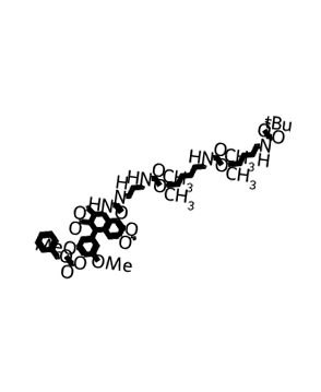 COc1cc(C2c3cc4c(cc3C(NC(=O)NCCCNC(=O)OC(C)(C)CCCCCNC(=O)OC(C)(C)CCCCNC(=O)OC(C)(C)C)C3COC(=O)C23)OCO4)cc(OC)c1OC(=O)OCc1ccccc1